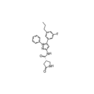 CCCc1cc(F)cc(-c2cc(NC(=O)[C@@H]3CNC(=O)C3)nn2-c2ccccc2)c1